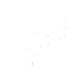 CC(C)(C)OC(=O)N[C@@H]1c2ccccc2CC12CCN(c1ncc(Sc3ccnc4c3OCC3(COC3)N4)nc1CO)CC2